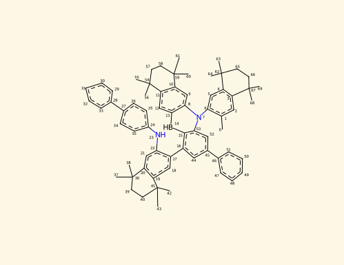 Cc1cc2c(cc1N1c3cc4c(cc3Bc3c(-c5cc6c(cc5Nc5ccc(-c7ccccc7)cc5)C(C)(C)CCC6(C)C)cc(-c5ccccc5)cc31)C(C)(C)CCC4(C)C)C(C)(C)CCC2(C)C